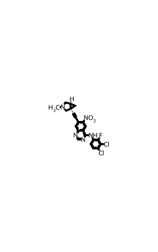 CN1C[C@H]2C[C@@]2(C#Cc2cc3ncnc(Nc4ccc(Cl)c(Cl)c4F)c3cc2[N+](=O)[O-])C1